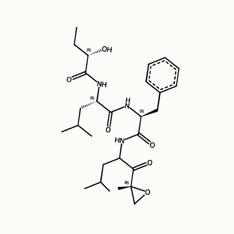 CC[C@H](O)C(=O)N[C@@H](CC(C)C)C(=O)N[C@@H](Cc1ccccc1)C(=O)NC(CC(C)C)C(=O)[C@@]1(C)CO1